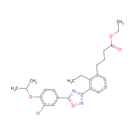 CCOC(=O)CCCc1cccc(-c2noc(-c3ccc(OC(C)C)c(Cl)c3)n2)c1CC